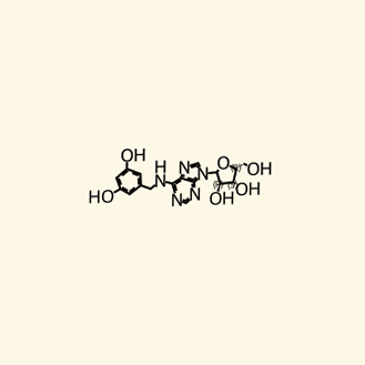 OC[C@H]1OC(n2cnc3c(NCc4cc(O)cc(O)c4)ncnc32)[C@H](O)[C@@H]1O